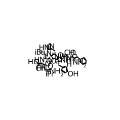 CC[C@H](C)[C@H](NC(=O)[C@H](Cc1c[nH]cn1)NC(=O)[C@H](Cc1ccc(O)cc1)NC(=O)[C@H](C)NC(=O)[C@@H](N)Cc1ccccc1)C(=O)N[C@H](C(=O)N[C@H](C(N)=O)C(C)C)[C@@H](C)O